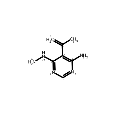 C=C(C)c1c(N)ncnc1NN